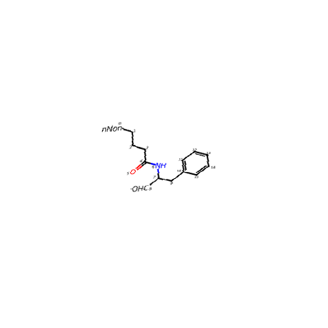 CCCCCCCCCCCCC(=O)N[C@H]([C]=O)Cc1ccccc1